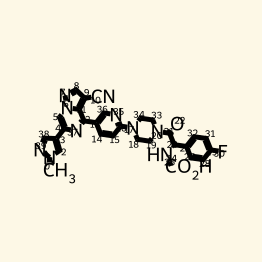 Cn1cc(-c2cn3ncc(C#N)c3c(-c3ccc(N4CCN(C(=O)[C@H](NC(=O)O)c5ccc(F)cc5)CC4)nc3)n2)cn1